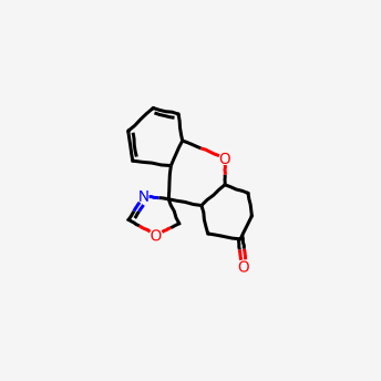 O=C1CCC2OC3C=CC=CC3C3(COC=N3)C2C1